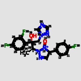 C[C@@H](N1N=CC(c2ccc(F)cc2)[N+]1=O)[C@](O)(Cn1cncn1)c1ccc(F)cc1F